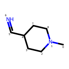 CN1CCC(C=N)CC1